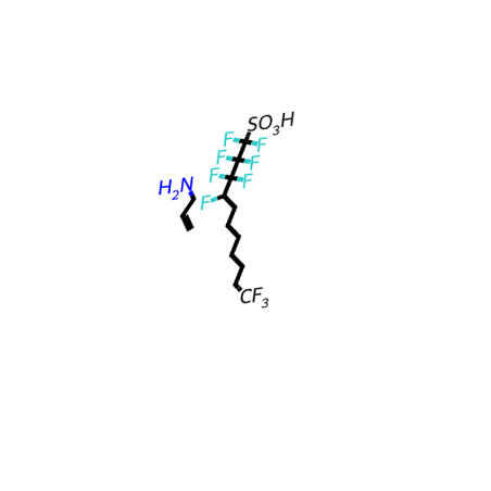 C=CCN.O=S(=O)(O)C(F)(F)C(F)(F)C(F)(F)C(F)CCCCCCC(F)(F)F